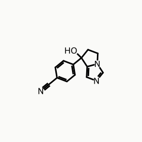 N#Cc1ccc(C2(O)CCn3cncc32)cc1